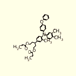 C=CC(=O)OCCC(CCOC(=O)C=C)c1ccc(N(c2ccc(Oc3ccccc3)cc2)c2ccc(C)c(C)c2)c(C)c1